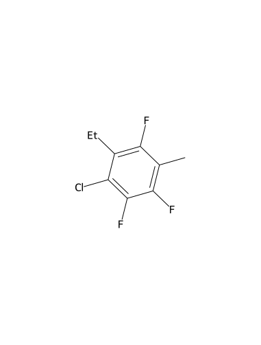 CCc1c(F)c(C)c(F)c(F)c1Cl